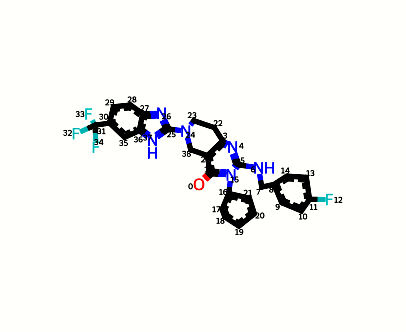 O=c1c2c(nc(NCc3ccc(F)cc3)n1-c1ccccc1)CCN(c1nc3ccc(C(F)(F)F)cc3[nH]1)C2